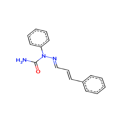 NC(=O)N(N=CC=Cc1ccccc1)c1ccccc1